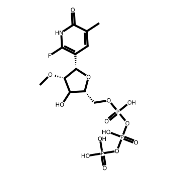 CO[C@H]1C(O)[C@@H](COP(=O)(O)OP(=O)(O)OP(=O)(O)O)O[C@H]1c1cc(C)c(=O)[nH]c1F